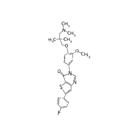 COc1cc(-n2cnc3cc(-c4ccc(F)cc4)sc3c2=O)ccc1OCC(C)(C)CN(C)C